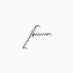 CCCCCCCCCCCCCCC(CCCCCCCC)C(=O)OCCCCCCCCCCCC